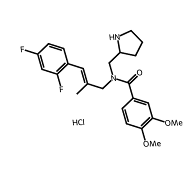 COc1ccc(C(=O)N(CC(C)=Cc2ccc(F)cc2F)CC2CCCN2)cc1OC.Cl